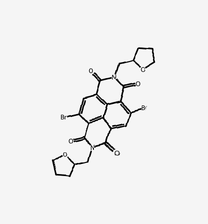 O=C1c2cc(Br)c3c4c(cc(Br)c(c24)C(=O)N1CC1CCCO1)C(=O)N(CC1CCCO1)C3=O